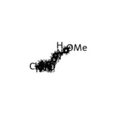 COc1ccc(CNc2ccc3c(n2)=CCC(C2C[C@@H](n4ccc5c(Cl)ncnc54)[C@@H]4OC(C)(C)O[C@H]24)C=3)cc1